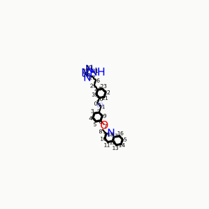 C(=C\c1cccc(OCc2ccc3ccccc3n2)c1)/c1cccc(CCc2nnn[nH]2)c1